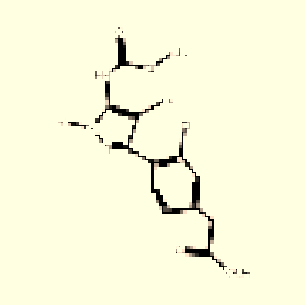 COC(=O)Cc1ccc(-c2nn(C(C)C)c(NC(=O)OC(C)(C)C)c2C#N)c(Cl)c1